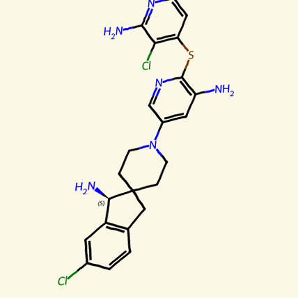 Nc1cc(N2CCC3(CC2)Cc2ccc(Cl)cc2[C@H]3N)cnc1Sc1ccnc(N)c1Cl